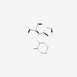 CC1CCCCC1Nc1c(C(=N)N)cnn2cnnc12